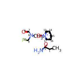 CCC(N)=O.CN(C=O)CF.[O-][n+]1ccccc1